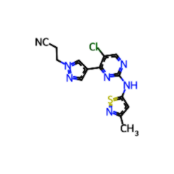 Cc1cc(Nc2ncc(Cl)c(-c3cnn(CCC#N)c3)n2)sn1